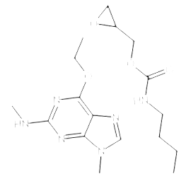 CCCCNC(=O)OCC1CO1.CCOc1nc(NC)nc2c1ncn2C